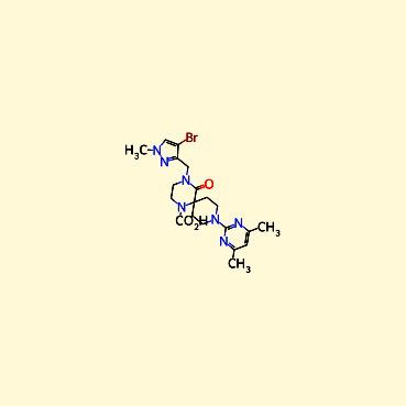 Cc1cc(C)nc(N2CCC3(CC2)C(=O)N(Cc2nn(C)cc2Br)CCN3C(=O)O)n1